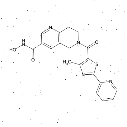 Cc1nc(-c2ccccn2)sc1C(=O)N1CCc2ncc(C(=O)NO)cc2C1